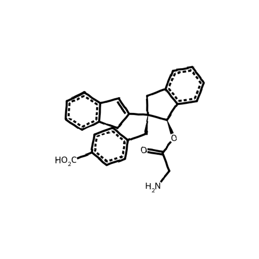 NCC(=O)O[C@@H]1c2ccccc2C[C@@]1(Cc1ccc(C(=O)O)cc1)C1=Cc2ccccc2C1